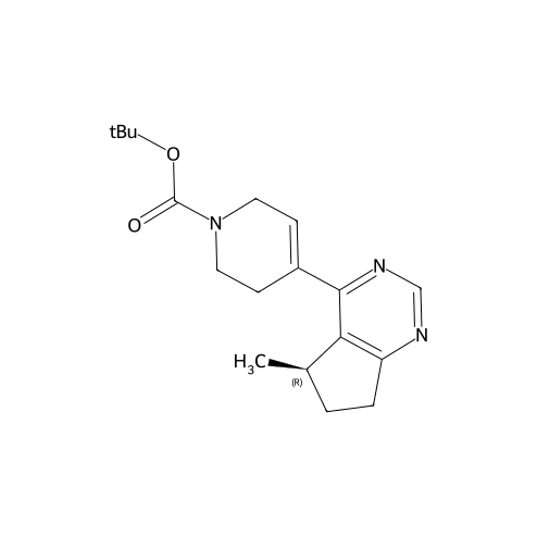 C[C@@H]1CCc2ncnc(C3=CCN(C(=O)OC(C)(C)C)CC3)c21